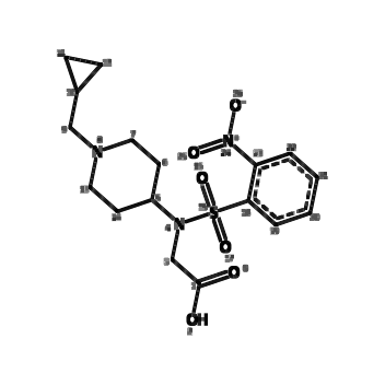 O=C(O)CN(C1CCN(CC2CC2)CC1)S(=O)(=O)c1ccccc1[N+](=O)[O-]